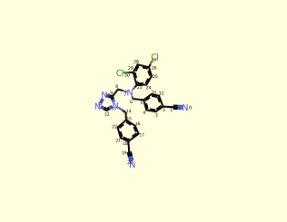 N#Cc1ccc(CN(Cc2nncn2Cc2ccc(C#N)cc2)c2ccc(Cl)cc2Cl)cc1